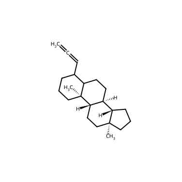 C=C=CC1CCC[C@@]2(C)C1CC[C@H]1[C@@H]3CCC[C@@]3(C)CC[C@@H]12